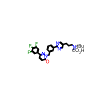 CC(C)(C)N(CCCc1cnc(-c2cccc(Cn3nc(-c4cc(F)c(F)c(F)c4)ccc3=O)c2)nc1)C(=O)O